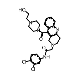 O=C(CN1CCc2nc3ccccc3c(C(=O)N3CCN(CCO)CC3)c2C1)Nc1ccc(Cl)c(Cl)c1